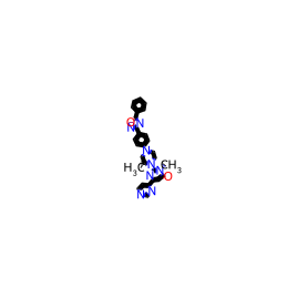 C[C@@H]1CN(c2ccc(-c3noc(-c4ccccc4)n3)cc2)CCN1c1nc(-c2ccncn2)cc(=O)n1C